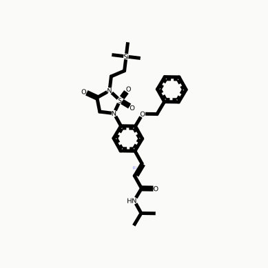 CC(C)NC(=O)/C=C/c1ccc(N2CC(=O)N(CC[Si](C)(C)C)S2(=O)=O)c(OCc2ccccc2)c1